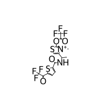 CC(NC(=O)c1ccc(C(=O)C(F)(F)F)s1)C1=CSC(OC(=O)C(F)(F)F)=[N+]1